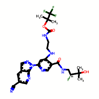 CC(C)(O)[C@H](F)CNC(=O)c1cnc(-n2ncc3cc(C#N)cnc32)cc1NCCNC(=O)OC(C)(C)C(F)(F)F